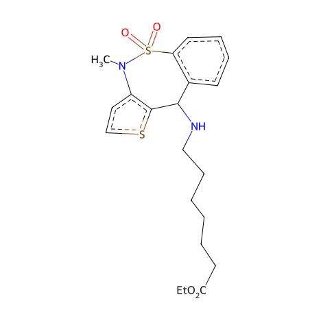 CCOC(=O)CCCCCCNC1c2ccccc2S(=O)(=O)N(C)c2ccsc21